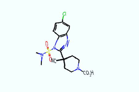 CN(C)S(=O)(=O)n1c(C2(C#N)CCN(C(=O)O)CC2)nc2cc(Cl)ccc21